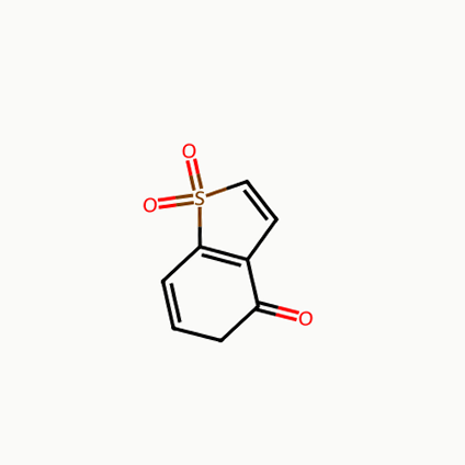 O=C1CC=CC2=C1C=CS2(=O)=O